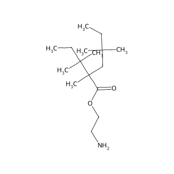 CCC(C)(C)CC(C)(C(=O)OCCN)C(C)(C)CC